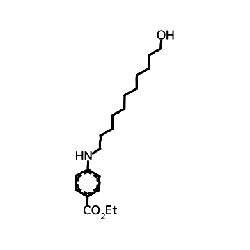 CCOC(=O)c1ccc(NCCCCCCCCCCCO)cc1